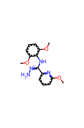 COc1cccc(/C(=N\N)Nc2c(OC)cccc2OC)n1